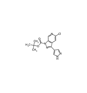 CC(C)(C)OC(=O)n1nc(-c2cn[nH]c2)c2cc(Cl)ncc21